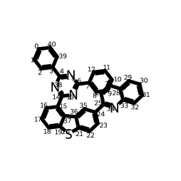 c1ccc(-c2nc(-c3ccccc3)nc(-c3cccc4sc5ccc(-c6ccc7ccccc7n6)cc5c34)n2)cc1